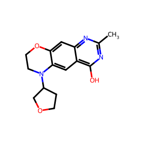 Cc1nc(O)c2cc3c(cc2n1)OCCN3C1CCOC1